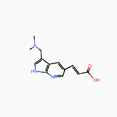 CN(C)Cc1c[nH]c2ncc(/C=C/C(=O)O)cc12